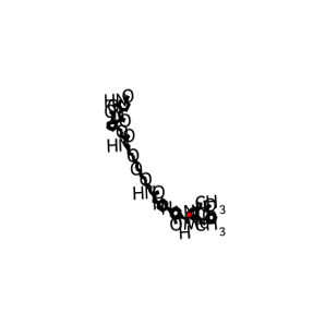 COc1cc(N2CCN(CC(=O)NCCOCCOCCOCCNC(=O)COc3cccc4c3C(=O)N(C3CCC(=O)NC3=O)C4=O)CC2)ccc1Nc1ncc2c(n1)N(C)c1ccccc1C(=O)N2C